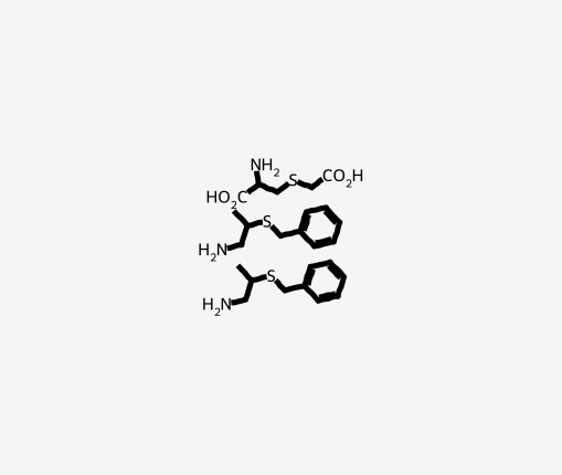 CC(CN)SCc1ccccc1.CC(CN)SCc1ccccc1.NC(CSCC(=O)O)C(=O)O